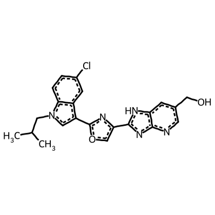 CC(C)Cn1cc(-c2nc(-c3nc4ncc(CO)cc4[nH]3)co2)c2cc(Cl)ccc21